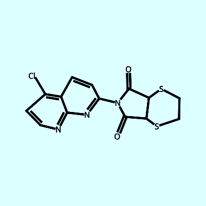 O=C1C2SCCSC2C(=O)N1c1ccc2c(Cl)ccnc2n1